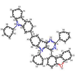 c1ccc(-c2nc(-c3cccc4oc5ccccc5c34)c3c(n2)c2cc(-c4ccc5c6ccccc6n(-c6ccccc6)c5c4)ccc2n3-c2ccccc2)cc1